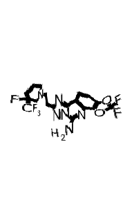 Nc1nc2c3c(ccc2c2nc(CCN4CCCC(F)(C(F)(F)F)C4)nn12)OC(F)(F)O3